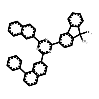 CC1(C)c2ccccc2-c2cc(-c3nc(-c4ccc5ccccc5c4)nc(-c4ccc5cccc(-c6ccccc6)c5c4)n3)ccc21